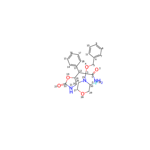 NC(=O)C(OCc1ccccc1)(C(c1ccccc1)C1CNC(=O)O1)N1CCOCC1F